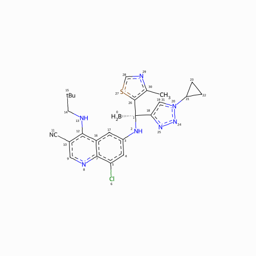 B[C@@](Nc1cc(Cl)c2ncc(C#N)c(NCC(C)(C)C)c2c1)(c1cn(C2CC2)nn1)c1scnc1C